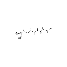 CCCCCCCCCC([N])F